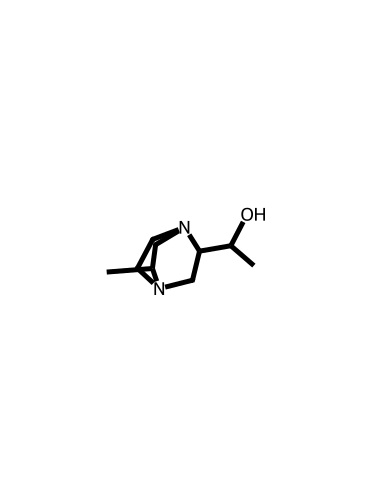 CC(O)C1CN2CCN1CC2C